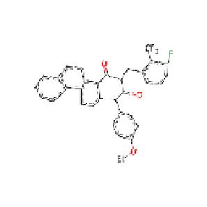 CCOc1ccc(C2C(=O)C(Cc3cccc(F)c3C(F)(F)F)C(=O)c3c2ccc2c3ccc3ccccc32)cc1